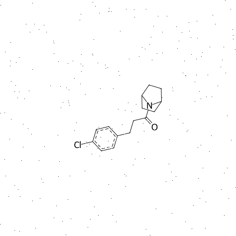 O=C(CCc1ccc(Cl)cc1)N1C2CCC1CC2